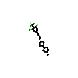 CC[C@H]1CC[C@H]([C@H]2CC[C@H](C=CC#Cc3cc(F)c(C(F)(F)F)c(F)c3)CC2)CC1